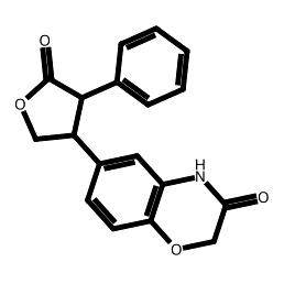 O=C1COc2ccc(C3COC(=O)C3c3ccccc3)cc2N1